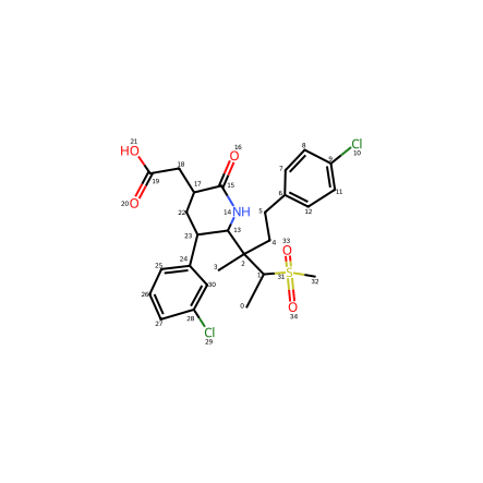 CC(C(C)(CCc1ccc(Cl)cc1)C1NC(=O)C(CC(=O)O)CC1c1cccc(Cl)c1)S(C)(=O)=O